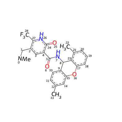 CNCc1cc(C(=O)NC2c3ccc(C)cc3Oc3cccc(C)c32)c(=O)[nH]c1C(F)(F)F